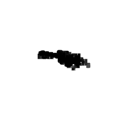 CCCCCCCC/C=C\CCCCCCCC(=O)C(O)[C@@H](NC(=O)[C@@H]1CCCN1C(=O)[C@H](C)NC(=O)[C@H](C)N)C(C)C